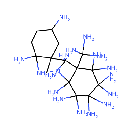 CC1(C(N)(N)C2(C(N)(N)N)C(N)(N)C(N)(N)C(N)(N)C(N)(N)C2(N)N)CC(N)CCC1(N)N